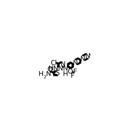 CN1CCN(C2CCN(c3ccc(Nc4ncc(Cl)c(Nc5sccc5C(N)=O)n4)c(OC(F)F)c3)CC2)CC1